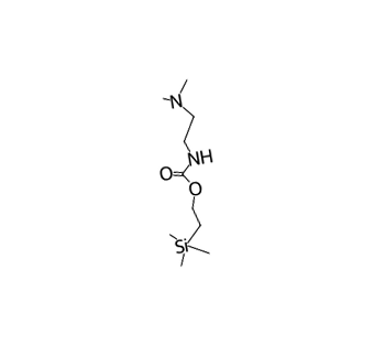 CN(C)CCNC(=O)OCC[Si](C)(C)C